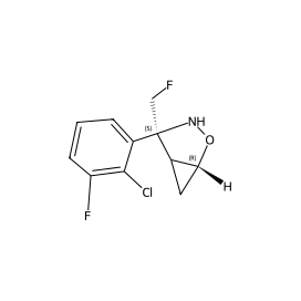 FC[C@]1(c2cccc(F)c2Cl)NO[C@@H]2CC21